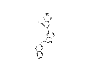 O=NCc1c(F)cc(-c2ccc3ncn(Cc4ccc5ncccc5c4)c3n2)cc1F